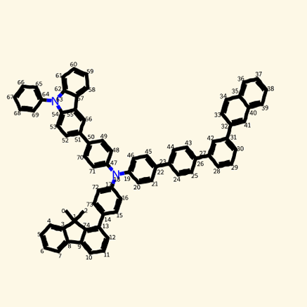 CC1(C)c2ccccc2-c2cccc(-c3ccc(N(c4ccc(-c5ccc(-c6cccc(-c7ccc8ccccc8c7)c6)cc5)cc4)c4ccc(-c5ccc6c(c5)c5ccccc5n6-c5ccccc5)cc4)cc3)c21